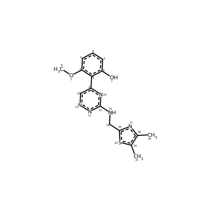 COc1cccc(O)c1-c1cnnc(NCc2nc(C)c(C)s2)n1